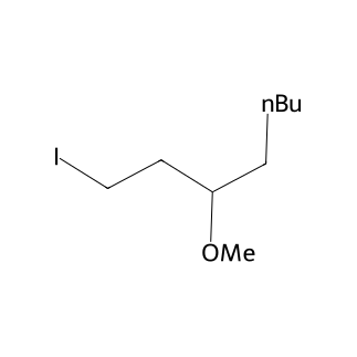 CCCCCC(CCI)OC